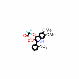 COc1cc2[nH]c(-c3ccccc3[N+](=O)[O-])c(O)c(=O)c2cc1OC.O=C(O)C(F)(F)F